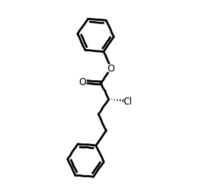 O=C(Oc1ccccc1)[C@H](Cl)CCc1ccccc1